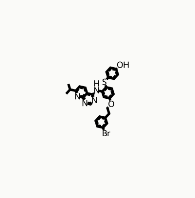 CC(C)c1ccc2c(Nc3cc(OCCc4cccc(Br)c4)ccc3Sc3ccc(O)cc3)ncnc2n1